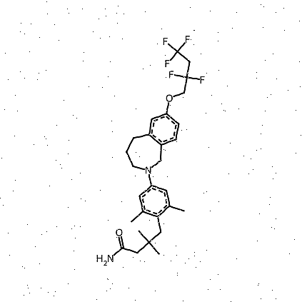 Cc1cc(N2CCCc3cc(OCC(F)(F)CC(F)(F)F)ccc3C2)cc(C)c1CC(C)(C)CC(N)=O